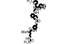 CN[C@@H](CCCNC(N)=O)C(=O)Nc1ccc(COC(=O)N2CCc3c(cccc3NCc3nc(-c4cccc(C)n4)c(-c4ccc5ncnn5c4)[nH]3)C2)cc1